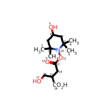 CC1(C)CC(O)CC(C)(C)N1OC(=O)CC(CO)C(=O)O